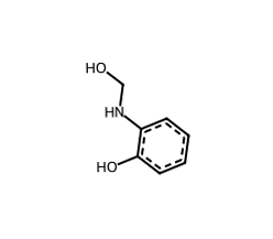 OCNc1ccccc1O